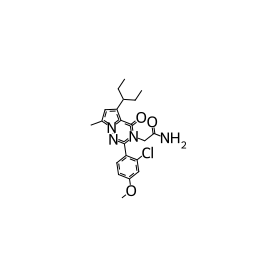 CCC(CC)c1cc(C)n2nc(-c3ccc(OC)cc3Cl)n(CC(N)=O)c(=O)c12